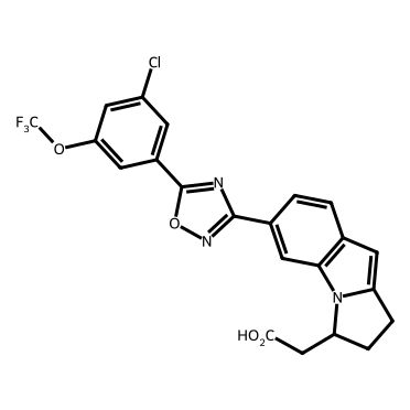 O=C(O)CC1CCc2cc3ccc(-c4noc(-c5cc(Cl)cc(OC(F)(F)F)c5)n4)cc3n21